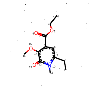 CCOC(=O)c1cc(CC)n(C)c(=O)c1OC